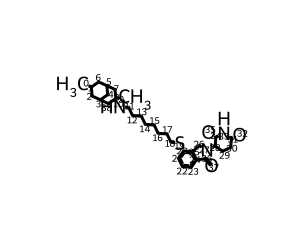 CC1CC2CC(C1)CC(C)(NCCCCCCCCSc1cccc3c1CN(C1CCC(=O)NC1=O)C3=O)C2